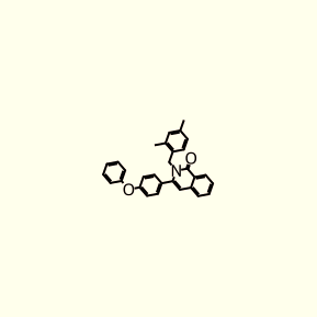 Cc1ccc(Cn2c(-c3ccc(Oc4ccccc4)cc3)cc3ccccc3c2=O)c(C)c1